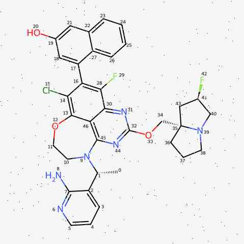 C[C@H](c1cccnc1N)N1CCOc2c(Cl)c(-c3cc(O)cc4ccccc34)c(F)c3nc(OC[C@@]45CCCN4C[C@H](F)C5)nc1c23